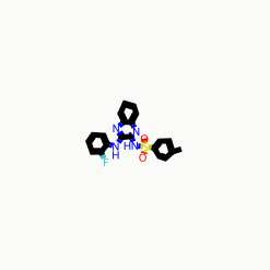 Cc1ccc(S(=O)(=O)Nc2nc3ccccc3nc2Nc2ccccc2F)cc1